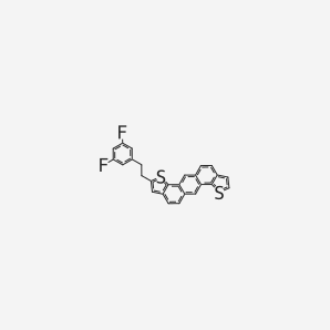 Fc1cc(F)cc(CCc2cc3ccc4cc5c(ccc6ccsc65)cc4c3s2)c1